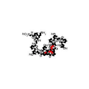 NCCCC[C@H](NC(=O)CNC(=O)[C@@H]1CCCN1C(=O)[C@@H]1C[C@@H](O)CN1C(=O)CNC(=O)[C@@H]1CCCN1C(=O)[C@@H]1C[C@@H](O)CN1C(=O)CNC(=O)[C@@H]1CCCN1C(=O)[C@@H]1C[C@@H](O)CN1C(=O)CNC(=O)[C@@H]1CCCN1C(=O)[C@@H]1C[C@@H](O)CN1C(=O)CNC(=O)[C@@H]1CCCN1C(=O)[C@@H]1C[C@@H](O)CN1C(=O)CNC(=O)[C@@H]1CCCN1C(=O)[C@@H]1C[C@@H](O)CN1)C(=O)N1CCC[C@H]1C(=O)NCC(=O)O